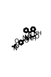 COc1cc(-c2nnc(NC3CC(=O)Nc4ccccc4/C(c4ccccc4)=N\3)o2)ccc1-n1cnc(C)c1